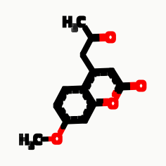 COc1ccc2c(CC(C)=O)cc(=O)oc2c1